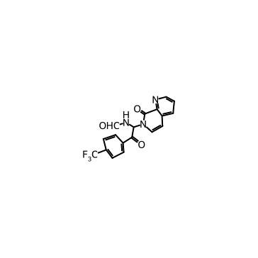 O=CNC(C(=O)c1ccc(C(F)(F)F)cc1)n1ccc2cccnc2c1=O